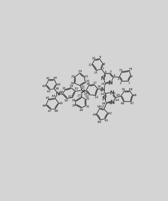 c1ccc(-c2cc(-c3ccccc3)nc(N(c3ccc([Si](c4ccccc4)(c4ccccc4)c4ccc(N(c5ccccc5)c5ccccc5)cc4)cc3)c3nc(-c4ccccc4)nc(-c4ccccc4)n3)n2)cc1